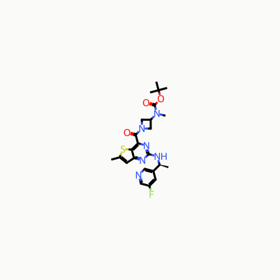 Cc1cc2nc(N[C@@H](C)c3cncc(F)c3)nc(C(=O)N3CC(N(C)C(=O)OC(C)(C)C)C3)c2s1